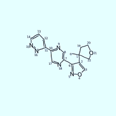 CC1(c2[c]onc2-c2cnc(-c3cccnn3)cn2)CCOC1